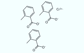 Cc1ccccc1C(=O)[O-].Cc1ccccc1C(=O)[O-].Cc1ccccc1C(=O)[O-].[Cr+3]